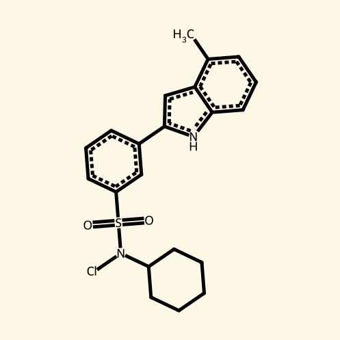 Cc1cccc2[nH]c(-c3cccc(S(=O)(=O)N(Cl)C4CCCCC4)c3)cc12